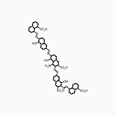 Nc1c(N=Nc2ccc3cc(S(=O)(=O)O)c(N=Nc4cccc5c(S(=O)(=O)O)cccc45)c(O)c3c2)c(S(=O)(=O)O)cc2ccc(N=Nc3ccc4c(O)c(N=Nc5cccc6cccc(S(=O)(=O)O)c56)ccc4c3)c(O)c12